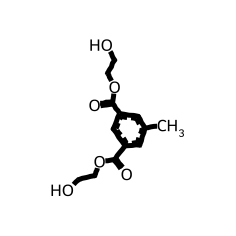 Cc1cc(C(=O)OCCO)cc(C(=O)OCCO)c1